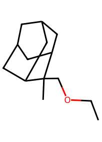 CCOCC1(C)C2CC3CC(C2)CC1C3